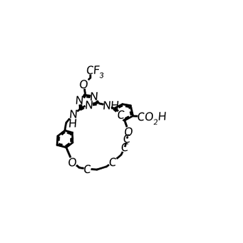 O=C(O)c1ccc2cc1OCCCCCCCCOc1ccc(cc1)CNc1nc(nc(OCC(F)(F)F)n1)N2